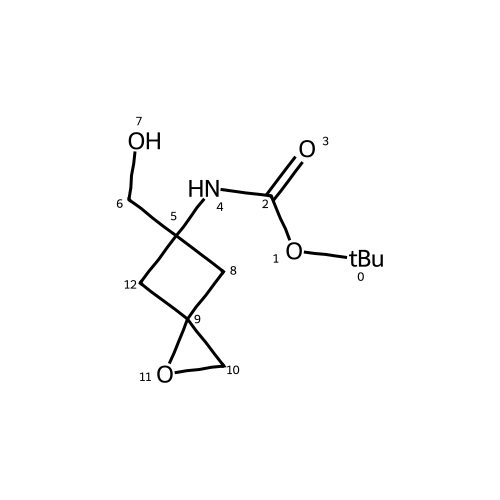 CC(C)(C)OC(=O)NC1(CO)CC2(CO2)C1